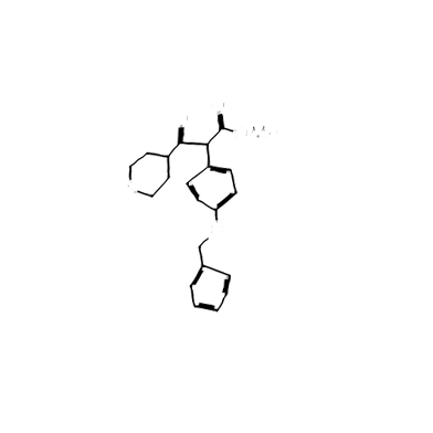 COC(=O)C(C(=O)C1CCSCC1)c1ccc(OCc2ccccc2)cc1